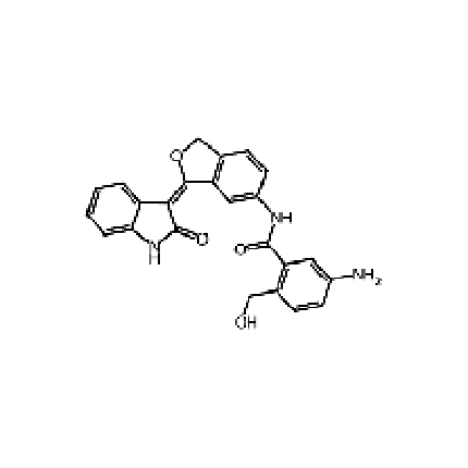 Nc1ccc(CO)c(C(=O)Nc2ccc3c(c2)C(=C2C(=O)Nc4ccccc42)OC3)c1